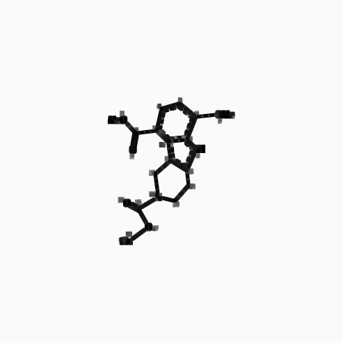 COC(=O)c1ccc(OC)c2[nH]c3c(c12)CN(C(=O)OC(C)(C)C)CC3